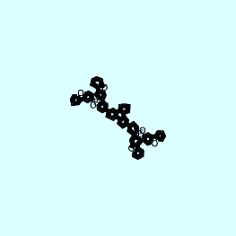 O=P(c1ccc(-c2ccc3c4ccc(-c5ccc(P(=O)(c6ccc7oc8ccccc8c7c6)c6ccc7oc8ccccc8c7c6)cc5)cc4c4ccccc4c3c2)cc1)(c1ccc2oc3ccccc3c2c1)c1ccc2oc3ccccc3c2c1